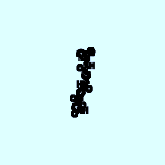 O=C1CCC(N2Cc3cc(C(=O)NCC4CCN(C(=O)NCCn5c6ccccc6c6cccnc65)CC4)ccc3C2=O)C(=O)N1